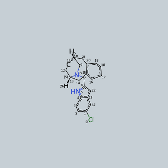 Clc1ccc2[nH]c(CN3C[C@@H]4CC[C@H]3Cc3ccccc3C4)cc2c1